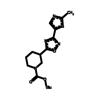 Cc1ncc(-c2noc(C3CCCN(C(=O)OC(C)(C)C)C3)n2)s1